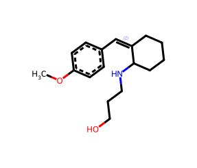 COc1ccc(/C=C2/CCCCC2NCCCO)cc1